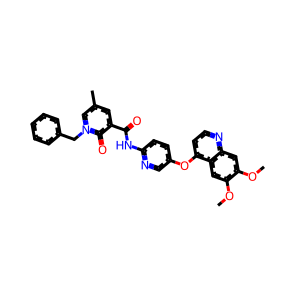 COc1cc2nccc(Oc3ccc(NC(=O)c4cc(C)cn(Cc5ccccc5)c4=O)nc3)c2cc1OC